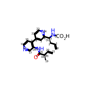 C=CC[C@H](NC(=O)O)c1cc(-c2ccncc2NC(=O)[C@H](C)C=C)ccn1